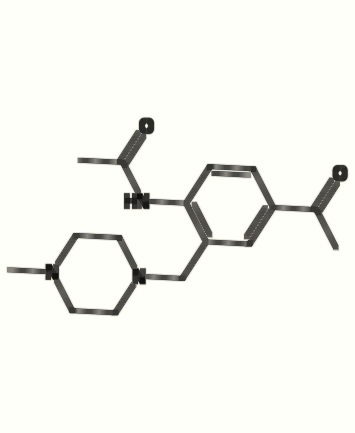 CC(=O)Nc1ccc(C(C)=O)cc1CN1CCN(C)CC1